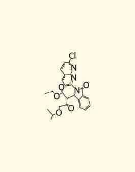 CCOC(=O)C(C(=O)COC(C)C)C1c2ccccc2C(=O)N1c1ccc2ccc(Cl)nc2n1